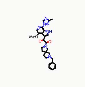 COc1cnc(-n2cnc(C)n2)c2[nH]cc(C(=O)C(=O)N3CCC4(CCN(Cc5ccccc5)C4)C3)c12